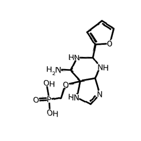 NC1NC(c2ccco2)NC2N=CNC12OCP(=O)(O)O